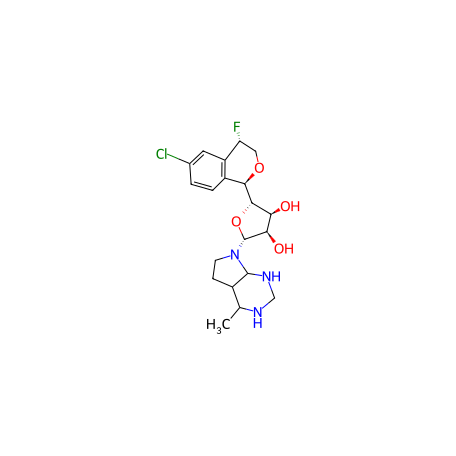 CC1NCNC2C1CCN2[C@@H]1O[C@H]([C@@H]2OC[C@@H](F)c3cc(Cl)ccc32)[C@@H](O)[C@H]1O